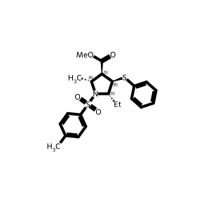 CC[C@H]1[C@H](Sc2ccccc2)[C@H](C(=O)OC)[C@@H](C)N1S(=O)(=O)c1ccc(C)cc1